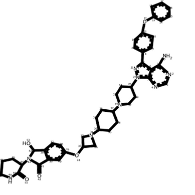 Nc1ncnc2c1c(-c1ccc(Oc3ccccc3)cc1)nn2C1CCN(C2CCC(N3CC(Oc4ccc5c(c4)C(=O)N(C4CCC(=O)NC4=O)C5O)C3)CC2)CC1